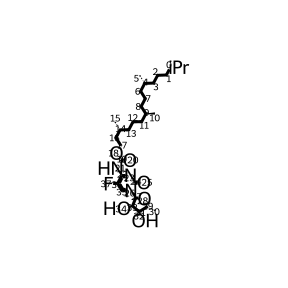 CC(C)CCC[C@@H](C)CCC[C@@H](C)CCC[C@@H](C)CCOC(=O)Nc1nc(=O)n([C@@H]2O[C@H](C)[C@H](O)[C@H]2O)cc1F